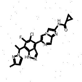 Cc1ccn(C(C)c2c(F)c(Cl)c(-c3cn4cc(NC(=O)C5CC5)nc4cn3)c3cn[nH]c23)n1